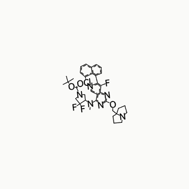 CN(c1nc(OCC23CCCN2CCC3)nc2c(F)c(-c3cccc4cccc(Cl)c34)ncc12)C1CN(C(=O)OC(C)(C)C)CC1(F)F